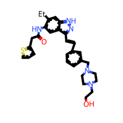 CCc1cc2[nH]nc(C=Cc3cccc(CN4CCN(CCO)CC4)c3)c2cc1NC(=O)Cc1cccs1